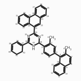 Cc1cc(-c2c(C)ccc3ccccc23)ccc1C1N=C(c2cc3ccccc3c3ccccc23)N=C(C2=CC=CCC2)N1